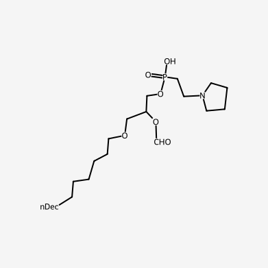 CCCCCCCCCCCCCCCCOCC(COP(=O)(O)CCN1CCCC1)OC=O